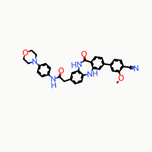 COc1cc(-c2ccc3c(c2)Nc2ccc(CC(=O)Nc4ccc(N5CCOCC5)cc4)cc2NC3=O)ccc1C#N